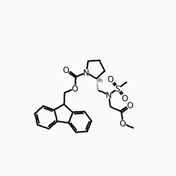 COC(=O)CN(C[C@H]1CCCN1C(=O)OCC1c2ccccc2-c2ccccc21)S(C)(=O)=O